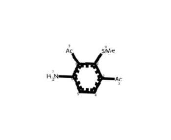 CSc1c(C(C)=O)ccc(N)c1C(C)=O